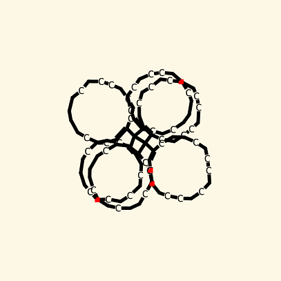 C1=C(C(C2=CCCCCCCCCCCCCCCC2)(C2=CCCCCCCCCCCCCCCC2)C(C2=CCCCCCCCCCCCCCCC2)(C2=CCCCCCCCCCCCCCCC2)C2=CCCCCCCCCCCCCCCC2)CCCCCCCCCCCCCCC1